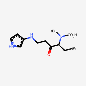 CC(C)C[C@@H](C(=O)CCNc1cc[nH]c1)N(C(=O)O)C(C)(C)C